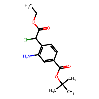 CCOC(=O)C(Cl)c1ccc(C(=O)OC(C)(C)C)cc1N